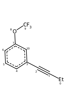 CCC#Cc1cccc(OC(F)(F)F)c1